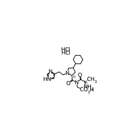 C[C@H](N)C(=O)N(CC(=O)O)C(=O)[C@@H]1CC(C2CCCCC2)CN1CCc1c[nH]cn1.Cl.Cl